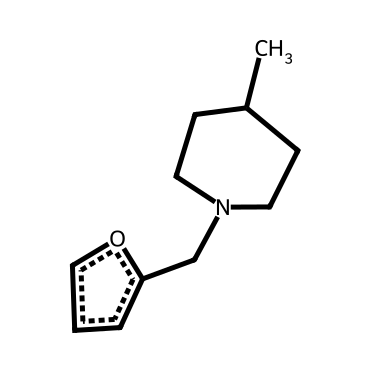 CC1CCN(Cc2ccco2)CC1